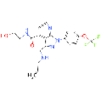 C=CCNCc1nn(-c2ccc(OC(F)(F)F)cc2)c2nccc(C(=O)NCCO)c12